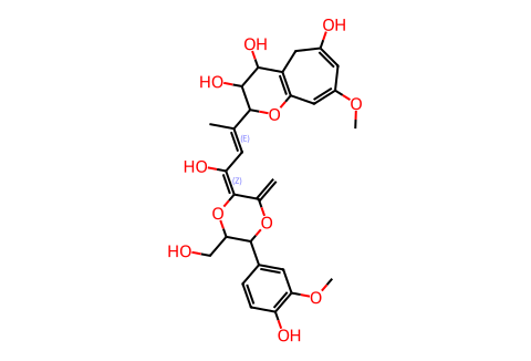 C=C1OC(c2ccc(O)c(OC)c2)C(CO)O/C1=C(O)/C=C(\C)C1OC2=C(CC(O)=CC(OC)=C2)C(O)C1O